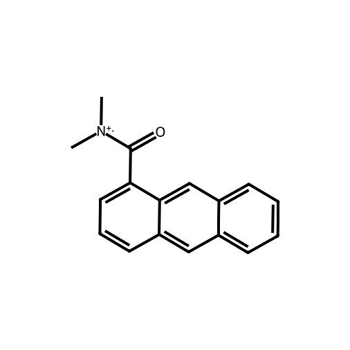 C[N+](C)C(=O)c1cccc2cc3ccccc3cc12